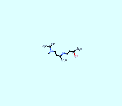 CCCC(C(=O)O)N(C)CCC(NCCC(O)C(=O)O)C(=O)O